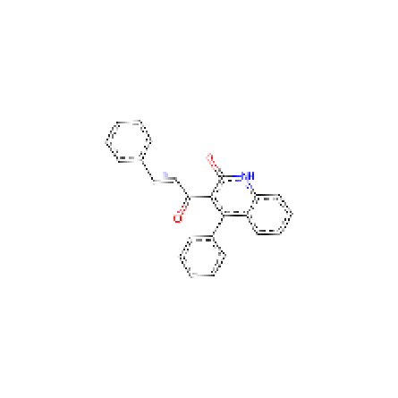 O=C(/C=C/c1ccccc1)c1c(-c2ccccc2)c2ccccc2[nH]c1=O